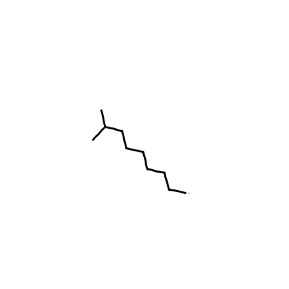 [CH2]CCCCCCC(C)C